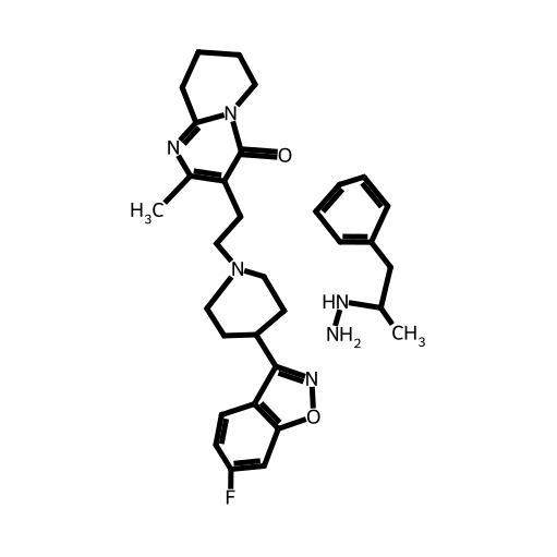 CC(Cc1ccccc1)NN.Cc1nc2n(c(=O)c1CCN1CCC(c3noc4cc(F)ccc34)CC1)CCCC2